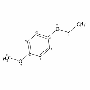 [CH2]COc1ccc(OC)cc1